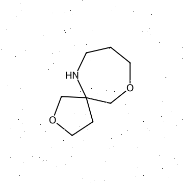 C1CNC2(CCOC2)COC1